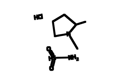 CC1CCCN1C.Cl.N[SH](=O)=O